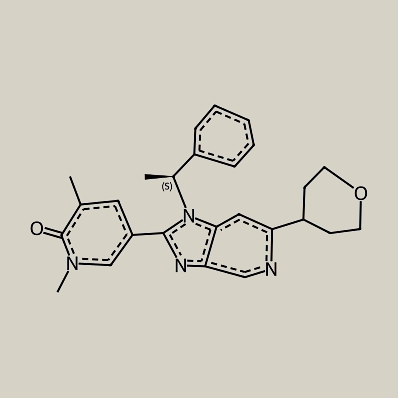 Cc1cc(-c2nc3cnc(C4CCOCC4)cc3n2[C@@H](C)c2ccccc2)cn(C)c1=O